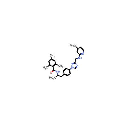 COc1ccnc(NCc2ncn(-c3ccc(CC(NC(=O)c4c(C)cc(C)cc4C)C(=O)O)cc3)n2)c1